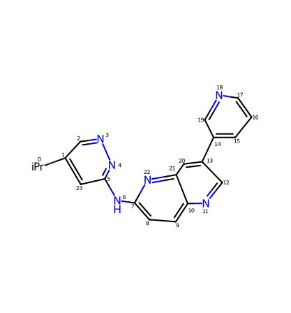 CC(C)c1cnnc(Nc2ccc3ncc(-c4cccnc4)cc3n2)c1